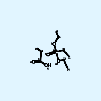 CCC(=O)O.CCOP(=O)(CC)OCC